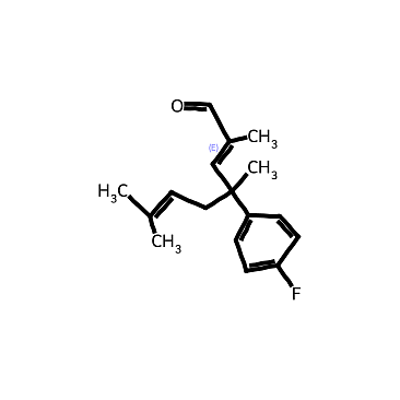 CC(C)=CCC(C)(/C=C(\C)C=O)c1ccc(F)cc1